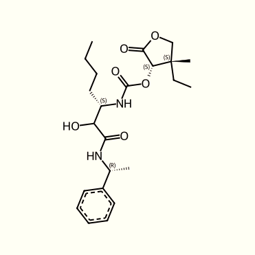 CCCC[C@H](NC(=O)O[C@@H]1C(=O)OC[C@]1(C)CC)C(O)C(=O)N[C@H](C)c1ccccc1